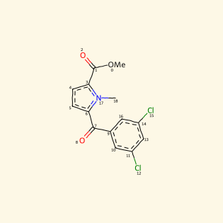 COC(=O)c1ccc(C(=O)c2cc(Cl)cc(Cl)c2)n1C